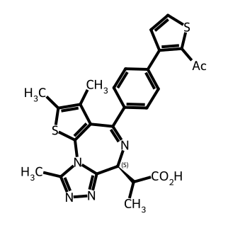 CC(=O)c1sccc1-c1ccc(C2=N[C@@H](C(C)C(=O)O)c3nnc(C)n3-c3sc(C)c(C)c32)cc1